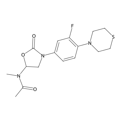 CC(=O)N(C)C1CN(c2ccc(N3CCSCC3)c(F)c2)C(=O)O1